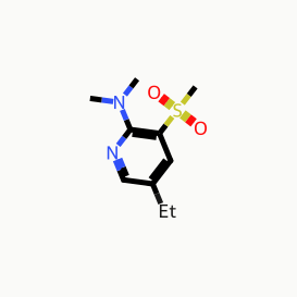 CCc1cnc(N(C)C)c(S(C)(=O)=O)c1